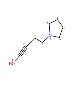 OC#CCCN1CCCC1